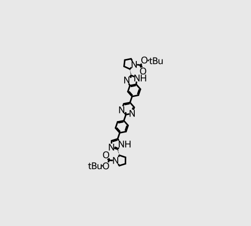 CC(C)(C)OC(=O)N1CCC[C@H]1c1ncc(-c2ccc(-c3ncc(-c4ccc5[nH]c([C@@H]6CCCN6C(=O)OC(C)(C)C)nc5c4)cn3)cc2)[nH]1